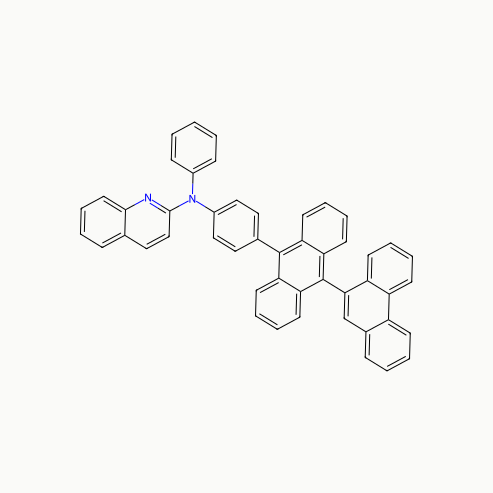 c1ccc(N(c2ccc(-c3c4ccccc4c(-c4cc5ccccc5c5ccccc45)c4ccccc34)cc2)c2ccc3ccccc3n2)cc1